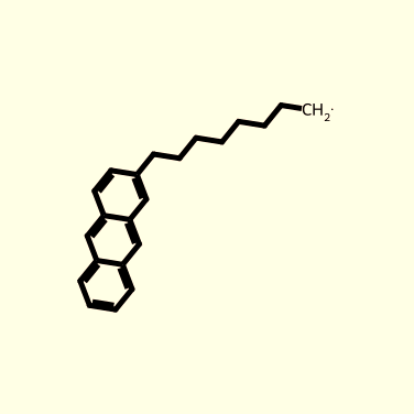 [CH2]CCCCCCCc1ccc2cc3ccccc3cc2c1